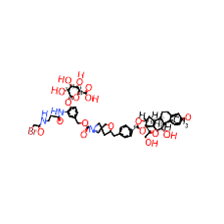 C[C@]12C=CC(=O)C=C1CC[C@@H]1[C@@H]2[C@@H](O)CC2[C@H]1C[C@H]1O[C@@H](c3ccc(CC4CC5(CO4)CN(C(=O)OCc4ccc(O[C@@H]6O[C@H](C(=O)O)[C@@H](O)[C@H](O)[C@H]6O)c(NC(=O)CCNC(=O)CBr)c4)C5)cc3)O[C@@]21C(=O)CO